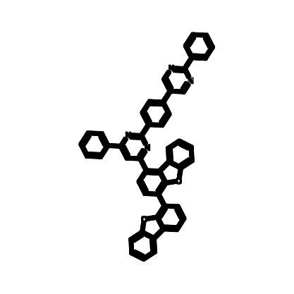 c1ccc(-c2cc(-c3ccc(-c4cccc5c4oc4ccccc45)c4oc5ccccc5c34)nc(-c3ccc(-c4cnc(-c5ccccc5)nc4)cc3)n2)cc1